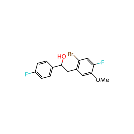 COc1cc(CC(O)c2ccc(F)cc2)c(Br)cc1F